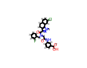 Cn1nc(C(=O)N(CC(=O)Nc2cccc(C(=O)O)c2)Cc2ccccc2F)c2c1-c1cc(Cl)ccc1CC2